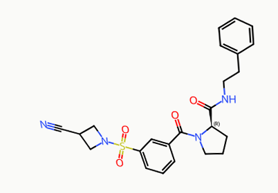 N#CC1CN(S(=O)(=O)c2cccc(C(=O)N3CCC[C@@H]3C(=O)NCCc3ccccc3)c2)C1